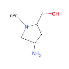 CCCN1CC(N)CC1CO